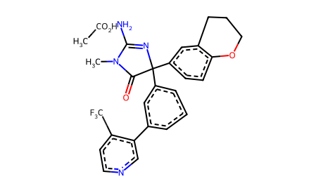 CC(=O)O.CN1C(=O)C(c2cccc(-c3cnccc3C(F)(F)F)c2)(c2ccc3c(c2)CCCO3)N=C1N